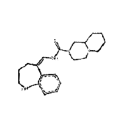 S=C(N/C=C1/CCCNc2ccccc21)N1CCN2CCCCC2C1